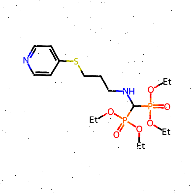 CCOP(=O)(OCC)C(NCCCSc1ccncc1)P(=O)(OCC)OCC